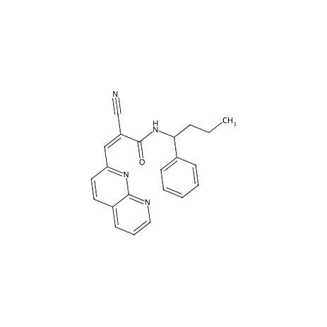 CCCC(NC(=O)C(C#N)=Cc1ccc2cccnc2n1)c1ccccc1